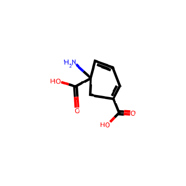 NC1(C(=O)O)C=CC=C(C(=O)O)C1